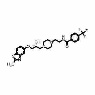 Cc1nc2cc(OC[C@H](O)CN3CCN(CCNC(=O)c4ccc(C(F)(F)F)cc4)CC3)ccc2s1